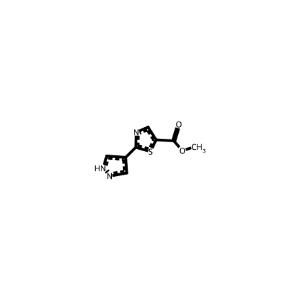 COC(=O)c1cnc(-c2cn[nH]c2)s1